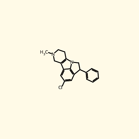 CN1CCc2c(c3cc(Cl)cc4c3n2CC4c2ccccc2)C1